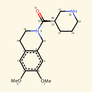 COc1cc2c(cc1OC)CN(C(=O)[C@@H]1CCCNC1)CC2